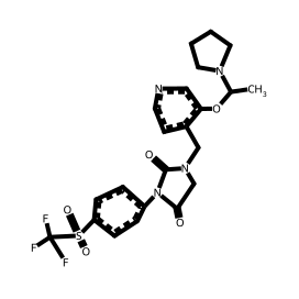 CC(Oc1cnccc1CN1CC(=O)N(c2ccc(S(=O)(=O)C(F)(F)F)cc2)C1=O)N1CCCC1